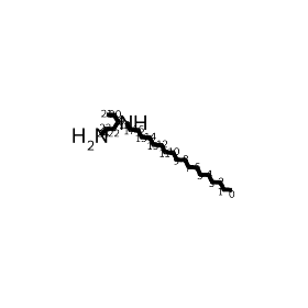 CCCCCCCCCCCCCCCCCCNC(CC)CCN